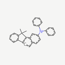 CC1(C)c2ccccc2-c2ccc3ccc(N(c4ccccc4)c4ccccc4)cc3c21